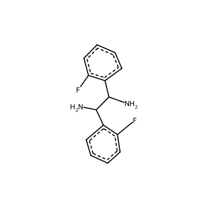 NC(c1ccccc1F)C(N)c1ccccc1F